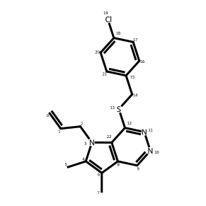 C=CCn1c(C)c(C)c2cnnc(SCc3ccc(Cl)cc3)c21